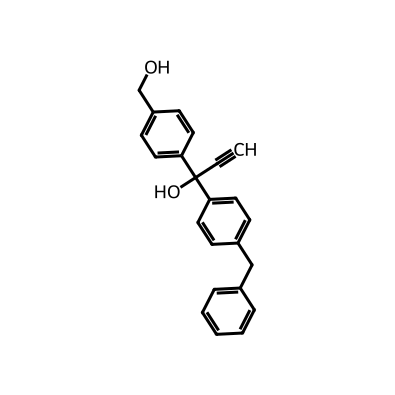 C#CC(O)(c1ccc(CO)cc1)c1ccc(Cc2ccccc2)cc1